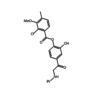 COc1c(C)ccc(C(=O)Oc2ccc(C(=O)CNC(C)C)cc2O)c1Cl